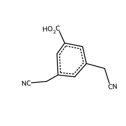 N#CCc1cc(CC#N)cc(C(=O)O)c1